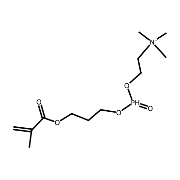 C=C(C)C(=O)OCCCO[PH](=O)OCC[N+](C)(C)C